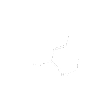 CC=NC(N)=O.CCO